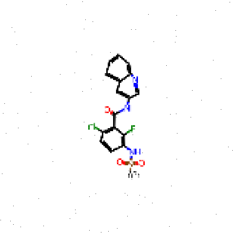 CCCS(=O)(=O)Nc1ccc(Cl)c(C(=O)Nc2cnc3ccccc3c2)c1F